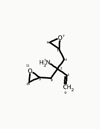 C=CC(N)(CC1CO1)CC1CO1